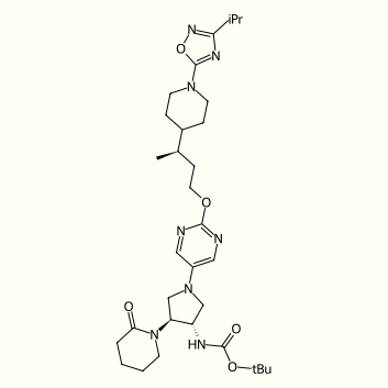 CC(C)c1noc(N2CCC([C@H](C)CCOc3ncc(N4C[C@H](NC(=O)OC(C)(C)C)[C@@H](N5CCCCC5=O)C4)cn3)CC2)n1